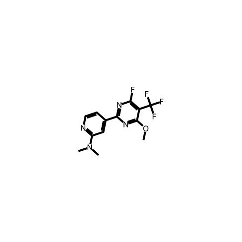 COc1nc(-c2ccnc(N(C)C)c2)nc(F)c1C(F)(F)F